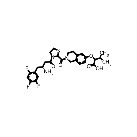 CC(C)C(Oc1ccc2c(c1)CCN(C(=O)C1SCCN1C(=O)C[C@H](N)Cc1cc(F)c(F)cc1F)C2)C(=O)O